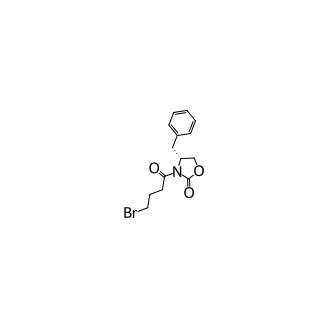 O=C(CCCBr)N1C(=O)OC[C@H]1Cc1ccccc1